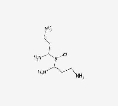 NCCC(N)[S+]([O-])C(N)CCN